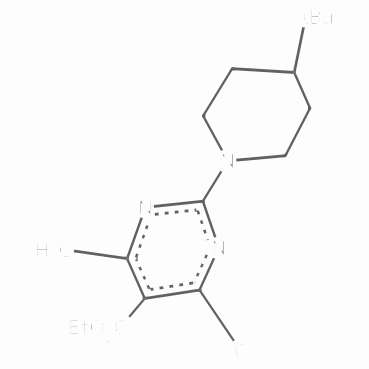 CCOC(=O)c1c(C)nc(N2CCC(C(C)(C)C)CC2)nc1Cl